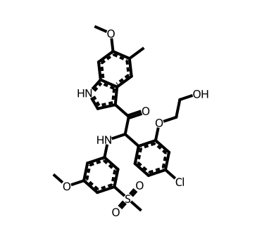 COc1cc(NC(C(=O)c2c[nH]c3cc(OC)c(C)cc23)c2ccc(Cl)cc2OCCO)cc(S(C)(=O)=O)c1